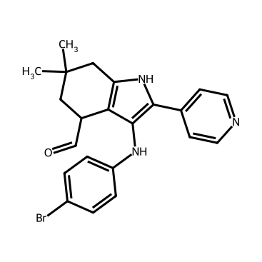 CC1(C)Cc2[nH]c(-c3ccncc3)c(Nc3ccc(Br)cc3)c2C(C=O)C1